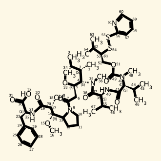 CC[C@H](C)[C@@H]([C@@H](CC(=O)N1CCCC1[C@H](OC)[C@@H](C)C(=O)N[C@@H](Cc1ccccc1)C(=O)O)OC)N(C)C(=O)[C@@H](NC(=O)[C@H](C(C)C)N(C)C(=O)OC[C@H](SSc1ccccn1)C(C)C)C(C)C